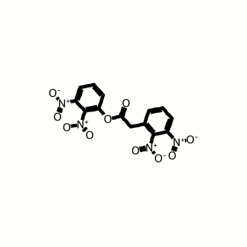 O=C(Cc1cccc([N+](=O)[O-])c1[N+](=O)[O-])Oc1cccc([N+](=O)[O-])c1[N+](=O)[O-]